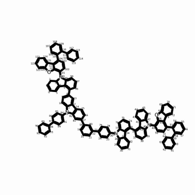 C1=CCC2C(=C1)c1c(-c3ccc4c(c3)c3ccc(-c5cccc(-c6ccc(-n7c8ccccc8c8c(-c9cccc%10c9c9ccccc9n%10-c9ccc(-c%10ccccc%10-c%10ccccc%10)c%10c9oc9ccccc9%10)cccc87)cc6)c5)cc3n4-c3ccc(-c4ccccc4)cc3)cccc1N2c1ccc(-c2ccccc2-c2ccccc2)c2c1oc1ccccc12